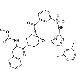 Cc1cccc(C)c1-c1cc2nc(n1)NS(=O)(=O)c1cccc(c1)C(=O)NC1(CCN(C(=O)C(Cc3ccccc3)NC(=O)OC(C)(C)C)CC1)O2